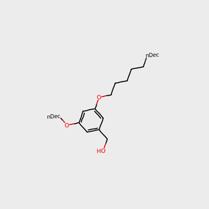 CCCCCCCCCCCCCCCOc1cc(CO)cc(OCCCCCCCCCC)c1